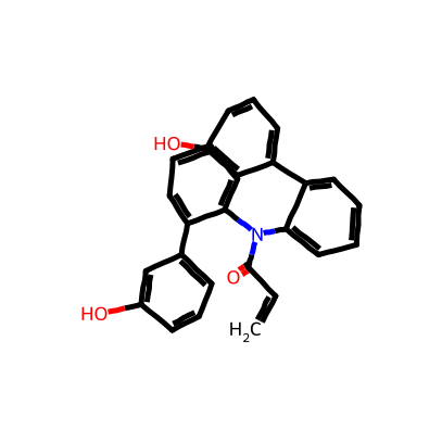 C=CC(=O)N(c1ccccc1-c1cccc(O)c1)c1ccccc1-c1cccc(O)c1